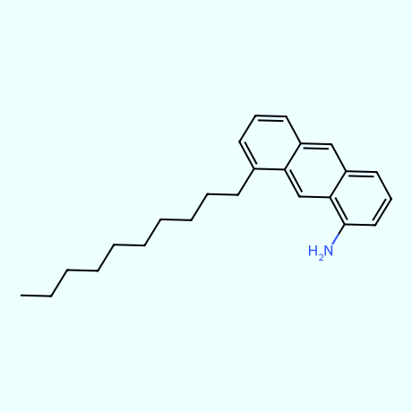 CCCCCCCCCCc1cccc2cc3cccc(N)c3cc12